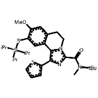 COc1cc2c(cc1S[Si](C(C)C)(C(C)C)C(C)C)-c1c(-c3cccs3)nc(C(=O)N(C)C(C)(C)C)n1CC2